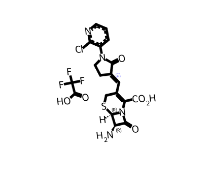 N[C@@H]1C(=O)N2C(C(=O)O)=C(/C=C3\CCN(c4cccnc4Cl)C3=O)CS[C@H]12.O=C(O)C(F)(F)F